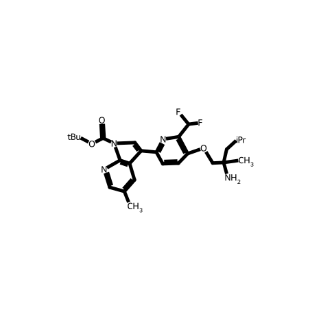 Cc1cnc2c(c1)c(-c1ccc(OCC(C)(N)CC(C)C)c(C(F)F)n1)cn2C(=O)OC(C)(C)C